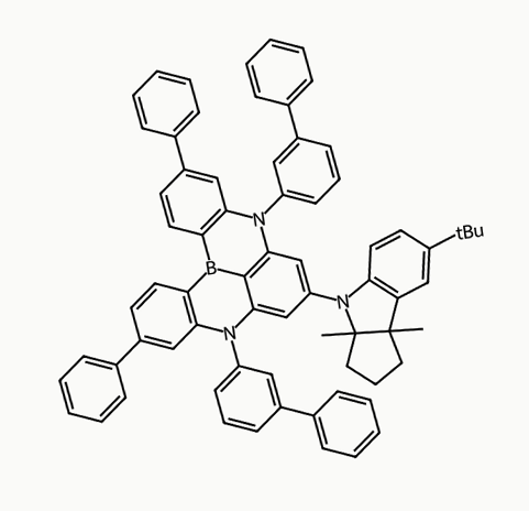 CC(C)(C)c1ccc2c(c1)C1(C)CCCC1(C)N2c1cc2c3c(c1)N(c1cccc(-c4ccccc4)c1)c1cc(-c4ccccc4)ccc1B3c1ccc(-c3ccccc3)cc1N2c1cccc(-c2ccccc2)c1